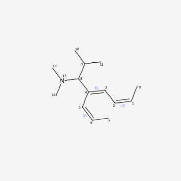 C\C=C/C=C(\C=C/C)C(C(C)C)N(C)C